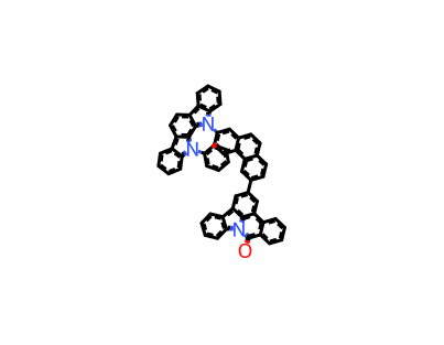 O=c1c2ccccc2c2cc(-c3ccc4ccc5cc(-n6c7ccccc7c7ccc8c9ccccc9n(-c9ccccc9)c8c76)ccc5c4c3)cc3c4ccccc4n1c23